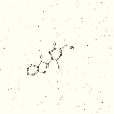 CC(C)Cn1cc(F)c(NC(=O)c2ccccc2F)nc1=O